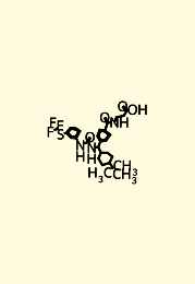 CC(C)(C)C1CCC(C(NC(=O)Nc2cccc(SC(F)(F)F)c2)c2ccc(C(=O)NCCC(=O)O)cc2)CC1